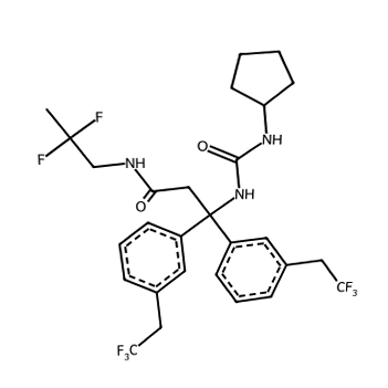 CC(F)(F)CNC(=O)CC(NC(=O)NC1CCCC1)(c1cccc(CC(F)(F)F)c1)c1cccc(CC(F)(F)F)c1